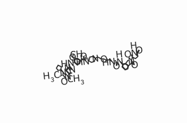 CC[C@@H]1C(=O)N(C)c2cnc(Nc3ccc(C(=O)NC4CCN(CCOCCNCC(=O)Nc5cccc6c5CN(C5CCC(=O)NC5=O)C6=O)CC4)cc3OC)nc2N1C1CCCC1